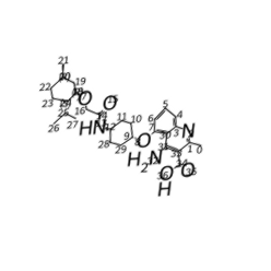 Cc1nc2cccc(O[C@H]3CC[C@H](NC(=O)CO[C@@H]4C[C@H](C)CC[C@H]4C(C)C)CC3)c2c(N)c1C(=O)O